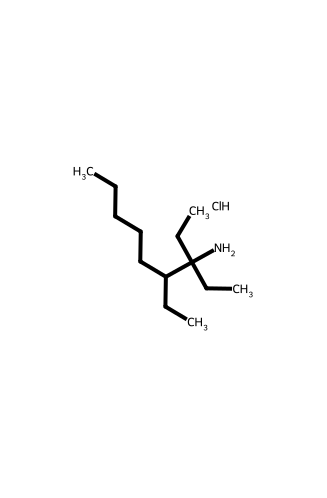 CCCCCC(CC)C(N)(CC)CC.Cl